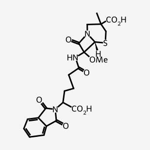 COC1(NC(=O)CCCC(C(=O)O)N2C(=O)c3ccccc3C2=O)C(=O)N2CC(C)(C(=O)O)CS[C@@H]21